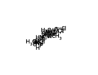 Cc1cc(Oc2cccc(Cl)c2)nc(C)c1-n1ncc(C(=O)c2cc3cc(F)c(NS(C)(=O)=O)cc3[nH]2)c1N